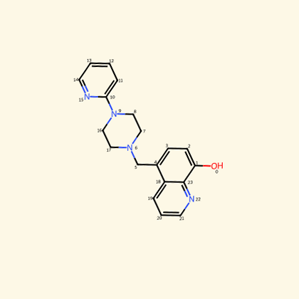 Oc1ccc(CN2CCN(c3ccccn3)CC2)c2cccnc12